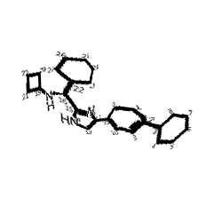 c1cc(C2CCCCC2)ccc1-c1c[nH]c([C@@H](NC2CCC2)C2CCCCC2)n1